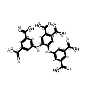 O=C(O)c1cc(Oc2cc(C(=O)O)c(C(=O)O)cc2Oc2cc(C(=O)O)cc(C(=O)O)c2)cc(C(=O)O)c1